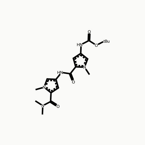 CN(C)C(=O)c1cc(NC(=O)c2cc(NC(=O)OC(C)(C)C)cn2C)cn1C